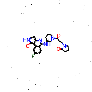 O=C1CCCN1CCC(=O)N1CCC[C@@H](Nc2nc3cc[nH]c(=O)c3c3cc(F)ccc23)C1